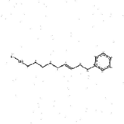 [Br][Mg][CH2]CCCC/C=C/CCc1ccccc1